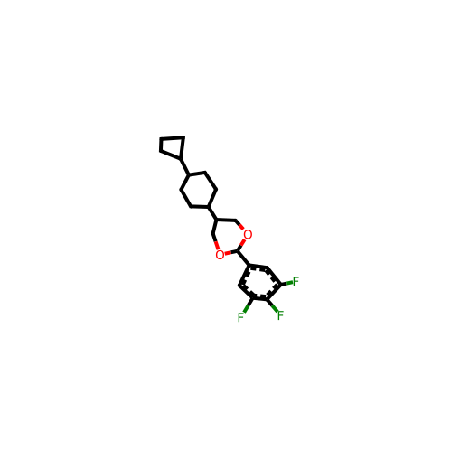 Fc1cc(C2OCC(C3CCC(C4CCC4)CC3)CO2)cc(F)c1F